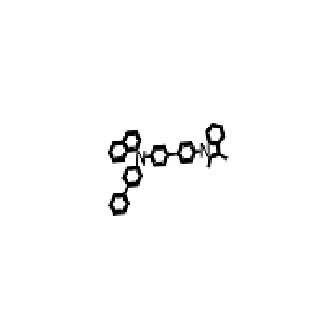 Cc1c(C)n(-c2ccc(-c3ccc(N(c4ccc(-c5ccccc5)cc4)c4cccc5ccccc45)cc3)cc2)c2ccccc12